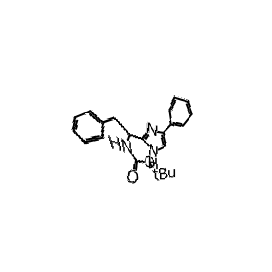 CC(C)(C)OC(=O)NC(Cc1ccccc1)c1nc(-c2ccccc2)c[nH]1